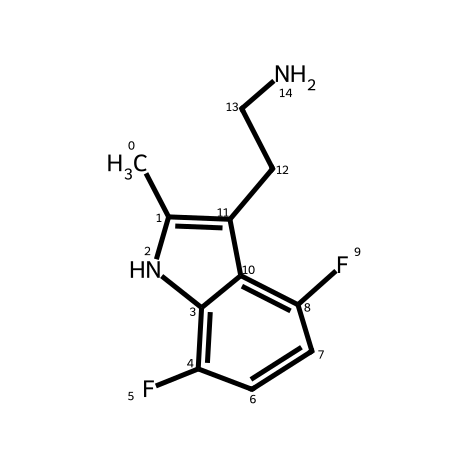 Cc1[nH]c2c(F)ccc(F)c2c1CCN